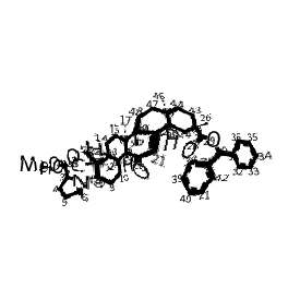 COC(=O)C1CCCN1[C@H]1CC[C@@]2(C)[C@@H](CC[C@]3(C)[C@@H]2C(=O)C=C2[C@@H]4C[C@@](C)(C(=O)OC(c5ccccc5)c5ccccc5)CC[C@]4(C)CC[C@]23C)[C@]1(C)C(=O)O